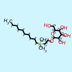 CCCCCCCCCCS(C)(C)CCOC1OC(CO)C(O)C(O)C1O